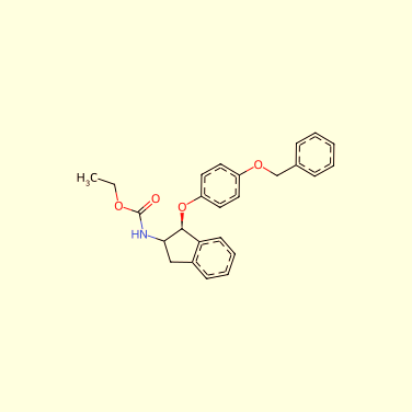 CCOC(=O)NC1Cc2ccccc2[C@@H]1Oc1ccc(OCc2ccccc2)cc1